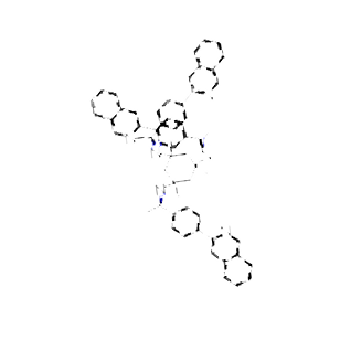 C/C(=N/C1(C)CC(C)(/N=C(/C)c2ccc(-c3cc4ccccc4cn3)cc2)CC(C)(/N=C(/C)c2ccc(-c3cc4ccccc4cn3)cc2)C1)c1ccc(-c2cc3ccccc3cn2)cc1